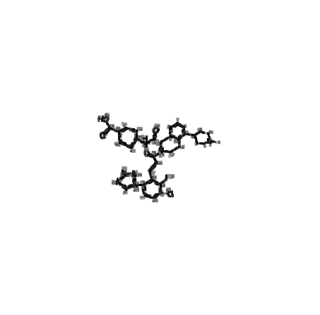 CN1CCC(c2cccc3c2CCN(C(=O)C=Cc2c(-n4cnnn4)ccc(Cl)c2F)[C@@H]3C(=O)Nc2ccc(C(=O)O)cc2)CC1